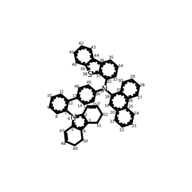 C1=Cc2c(c3c(n2-c2ccccc2-c2ccc(N(c4cc5ccccc5c5ccccc45)c4cccc5c4sc4ccccc45)cc2)C=CCC3)CC1